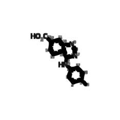 Cc1ccc(Nc2ncnc3cc(C(=O)O)ccc23)cc1